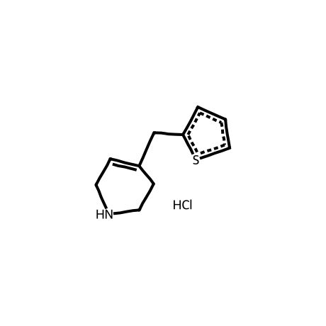 C1=C(Cc2cccs2)CCNC1.Cl